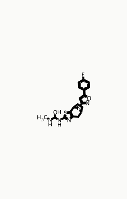 CNC(O)Nc1nc2c(s1)C1CCC(C2)N1c1cc(-c2ccc(F)cc2)on1